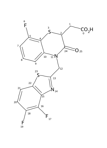 O=C(O)CC1Sc2c(F)cccc2N(Cc2nc3c(F)c(F)ccc3s2)C1=O